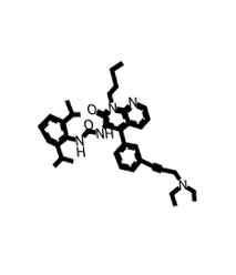 CCCCn1c(=O)c(NC(=O)Nc2c(C(C)C)cccc2C(C)C)c(-c2cccc(C#CCN(CC)CC)c2)c2cccnc21